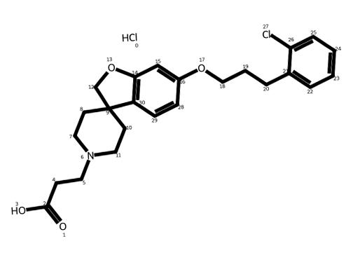 Cl.O=C(O)CCN1CCC2(CC1)COc1cc(OCCCc3ccccc3Cl)ccc12